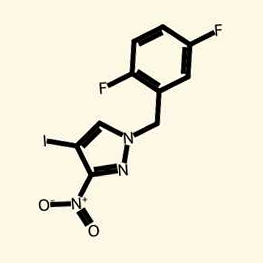 O=[N+]([O-])c1nn(Cc2cc(F)ccc2F)cc1I